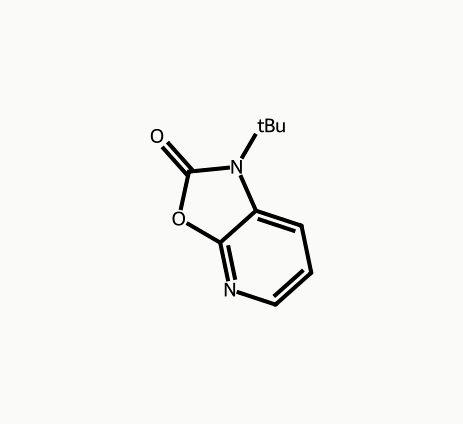 CC(C)(C)n1c(=O)oc2ncccc21